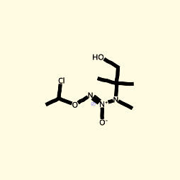 CC(Cl)O/N=[N+](\[O-])N(C)C(C)(C)CO